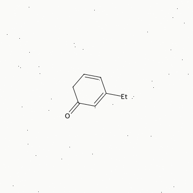 CCC1=[C]C(=O)CC=C1